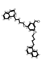 [O]Cc1cc(OCCCCc2nccc3ccccc23)cc(OCCCCc2nccc3ccccc23)c1